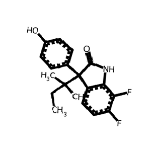 CCC(C)(C)C1(c2ccc(O)cc2)C(=O)Nc2c1ccc(F)c2F